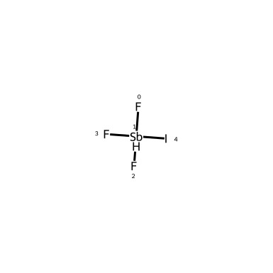 [F][SbH]([F])([F])[I]